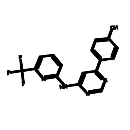 Oc1ccc(-c2cc(Nc3cccc(C(F)(F)F)n3)ncn2)cc1